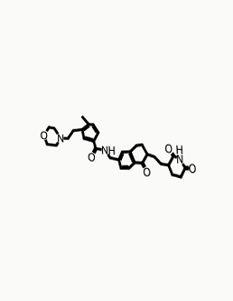 Cc1ccc(C(=O)NCc2ccc3c(c2)CCC(CCC2CCC(=O)NC2=O)C3=O)cc1CCN1CCOCC1